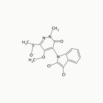 COc1c([S+](C)[O-])nn(C)c(=O)c1-n1c(Cl)c(Cl)c2ccccc21